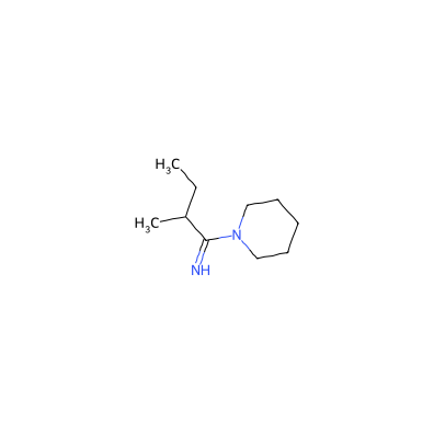 CCC(C)C(=N)N1CCCCC1